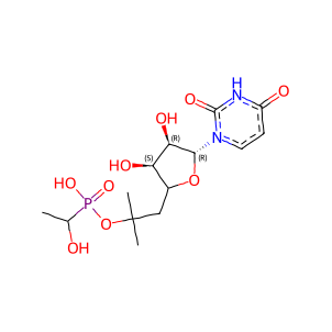 CC(O)P(=O)(O)OC(C)(C)CC1O[C@@H](n2ccc(=O)[nH]c2=O)[C@H](O)[C@@H]1O